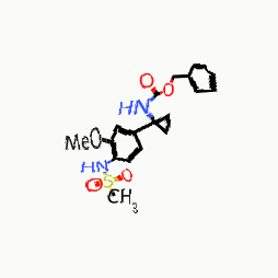 COc1cc(C2(NC(=O)OCc3ccccc3)CC2)ccc1NS(C)(=O)=O